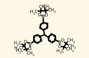 CC1(C)OB(c2ccc(C(c3ccc(B4OC(C)(C)C(C)(C)O4)cc3)c3ccc(B4OC(C)(C)C(C)(C)O4)cc3)cc2)OC1(C)C